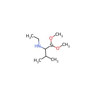 CCNC(C(C)C)[Si](OC)OC